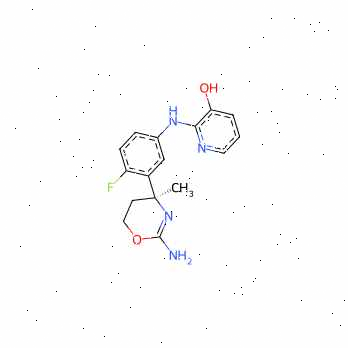 C[C@@]1(c2cc(Nc3ncccc3O)ccc2F)CCOC(N)=N1